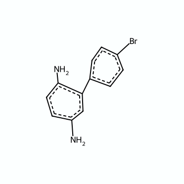 Nc1ccc(N)c(-c2ccc(Br)cc2)c1